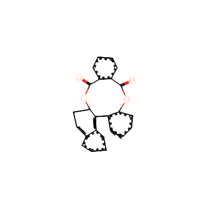 O=C1Oc2ccc3c(c2C2=c4ccccc4=CCC2OC(=O)c2ccccc21)=CCCC=3